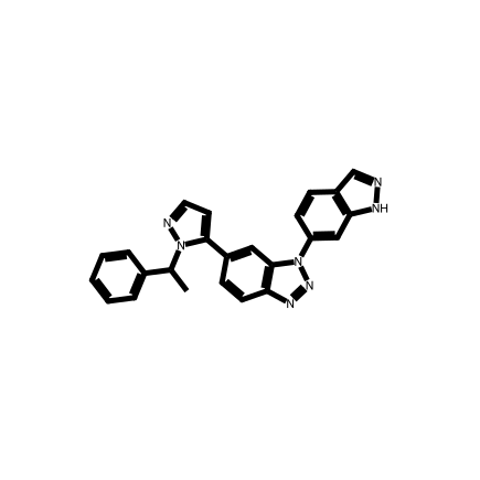 CC(c1ccccc1)n1nccc1-c1ccc2nnn(-c3ccc4cn[nH]c4c3)c2c1